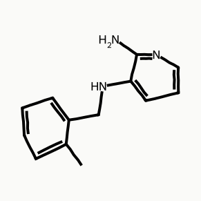 Cc1ccccc1CNc1cccnc1N